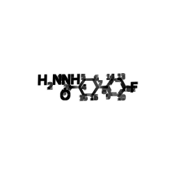 NNC(=O)[C@H]1CC[C@@H](c2ccc(F)cc2)CC1